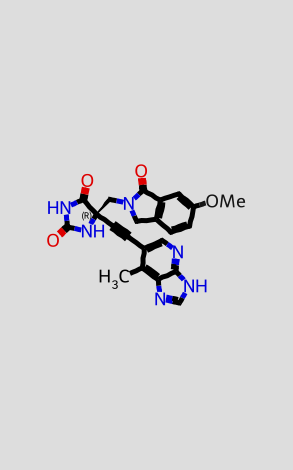 COc1ccc2c(c1)C(=O)N(C[C@@]1(C#Cc3cnc4[nH]cnc4c3C)NC(=O)NC1=O)C2